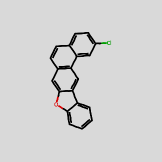 Clc1ccc2ccc3cc4oc5ccccc5c4cc3c2c1